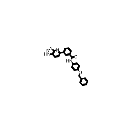 O=C(Nc1ccc(OCc2ccccc2)cc1)c1cccc(-c2ccc3[nH]nnc3n2)c1